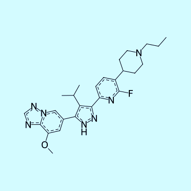 CCCN1CCC(c2ccc(-c3n[nH]c(-c4cc(OC)c5ncnn5c4)c3C(C)C)nc2F)CC1